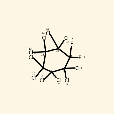 FC1(F)C(Cl)(Cl)C(Cl)(Cl)C(Cl)(Cl)C(Cl)(Cl)C1(Cl)Cl